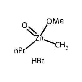 Br.CC[CH2][Zn]([CH3])(=[O])[O]C